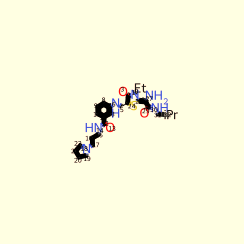 CCN1C(=O)[C@@H](CNc2cccc(C(=O)NCCCN3CCCC3)c2)S/C1=C(/N)C(=O)NCC(C)C